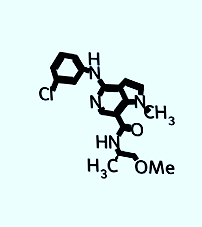 COC[C@H](C)NC(=O)c1cnc(Nc2cccc(Cl)c2)c2ccn(C)c12